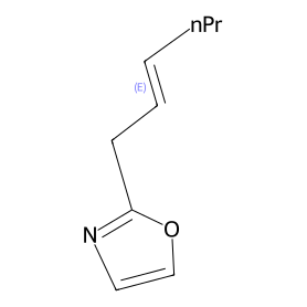 [CH2]CC/C=C/Cc1ncco1